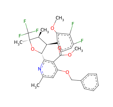 COC(=O)c1c(OCc2ccccc2)cc(C)nc1[C@@H]1O[C@@](C)(C(F)(F)F)[C@@H](C)[C@H]1c1ccc(F)c(F)c1OC